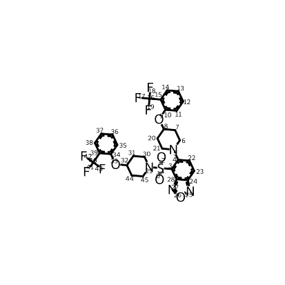 O=S(=O)(c1c(N2CCC(Oc3ccccc3C(F)(F)F)CC2)ccc2nonc12)N1CCC(Oc2ccccc2C(F)(F)F)CC1